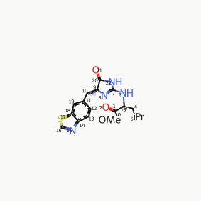 COC(=O)[C@H](CC(C)C)NC1=N/C(=C\c2ccc3ncsc3c2)C(=O)N1